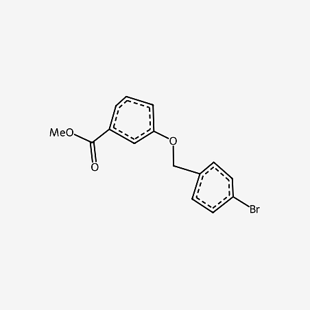 COC(=O)c1cccc(OCc2ccc(Br)cc2)c1